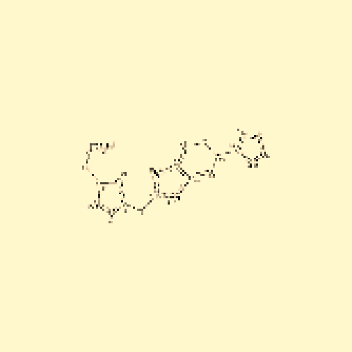 O=C(O)Cc1nnc(Cc2nc3c(s2)=CC(c2cccs2)CC=3)o1